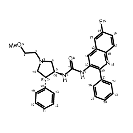 COCCN1C[C@@H](NC(=O)Nc2cc3cc(F)ccc3nc2-c2ccccc2)[C@H](c2ccccc2)C1